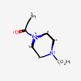 CC(C)C(=O)N1CCN(C(=O)O)CC1